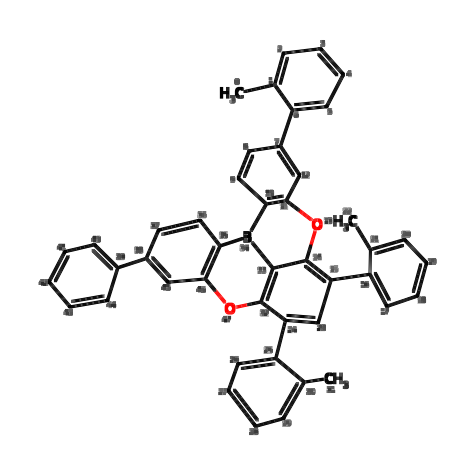 Cc1ccccc1-c1ccc2c(c1)Oc1c(-c3ccccc3C)cc(-c3ccccc3C)c3c1B2c1ccc(-c2ccccc2)cc1O3